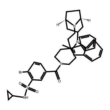 Cc1nc2ccccc2n1C1C[C@H]2CC[C@@H](C1)N2CCC1(c2ccccc2)CCN(C(=O)c2ccc(Br)c(S(=O)(=O)NC3CC3)c2)CC1